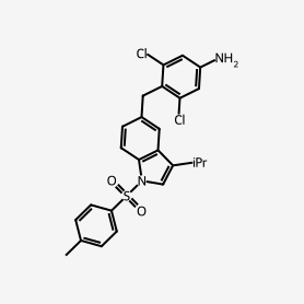 Cc1ccc(S(=O)(=O)n2cc(C(C)C)c3cc(Cc4c(Cl)cc(N)cc4Cl)ccc32)cc1